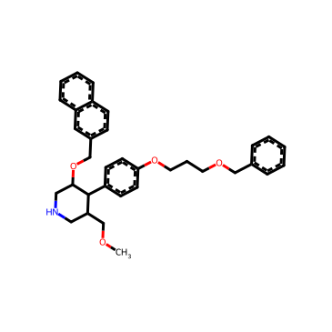 COCC1CNCC(OCc2ccc3ccccc3c2)C1c1ccc(OCCCOCc2ccccc2)cc1